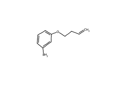 Bc1cccc(OCCC=C)c1